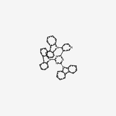 c1ccc2c(c1)c1ccccc1n2-c1nc(-c2cnccc2-n2c3ccccc3c3ccccc32)nc(-n2c3ccccc3c3ccccc32)n1